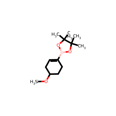 CC1(C)OB(C2=CCC(O[SiH3])CC2)OC1(C)C